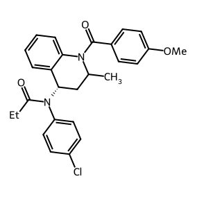 CCC(=O)N(c1ccc(Cl)cc1)[C@H]1CC(C)N(C(=O)c2ccc(OC)cc2)c2ccccc21